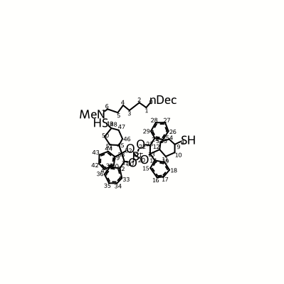 CCCCCCCCCCCCCCCC[NH2+]C.SC1CCC(C2(c3ccccc3)O[B-]3(OC2c2ccccc2)OC(c2ccccc2)C(c2ccccc2)(C2CCC(S)CC2)O3)CC1